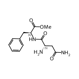 COC(=O)[C@H](Cc1ccccc1)NC(=O)[C@@H](N)CC(N)=O